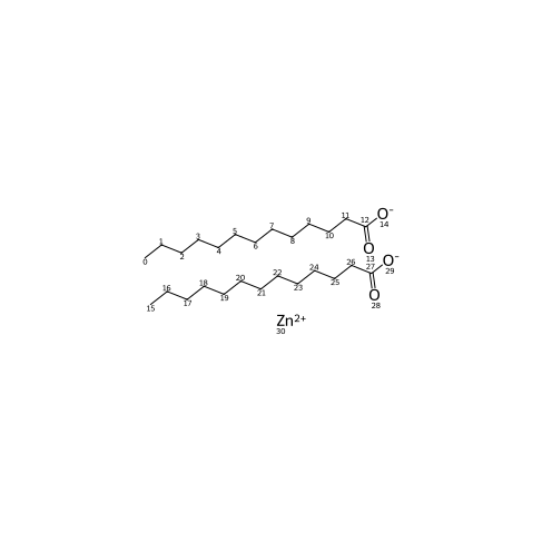 CCCCCCCCCCCCC(=O)[O-].CCCCCCCCCCCCC(=O)[O-].[Zn+2]